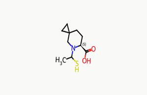 CC(S)N1CC2(CC[C@H]1C(=O)O)CC2